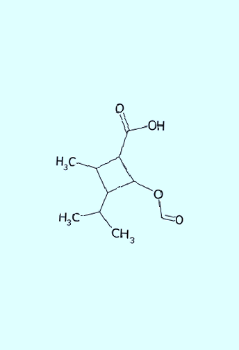 CC(C)C1C(C)C(C(=O)O)C1OC=O